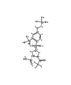 CC(C)(C)C(=O)N1C[C@H](S(=O)(=O)c2ccc(OCC(F)(F)F)cc2C(F)(F)F)C[C@H]1C(=O)O